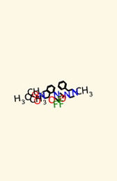 CN1CCN(C(=O)CN(C(=O)C(F)(F)F)c2cccc3c2CCN(C(=O)OC(C)(C)C)C3)C(c2ccccc2)C1